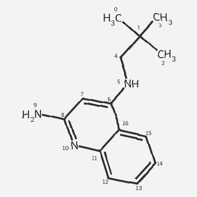 CC(C)(C)CNc1cc(N)nc2ccccc12